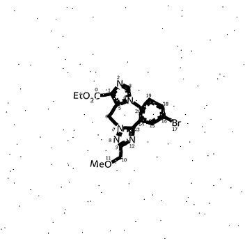 CCOC(=O)c1ncn2c1Cn1nc(COC)nc1-c1cc(Br)ccc1-2